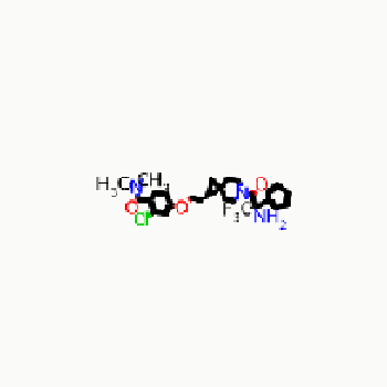 CN(C)C(=O)c1ccc(OCC[C@H]2CC23CCN(C(=O)[C@](N)(c2ccccc2)C(F)(F)F)CC3)cc1Cl